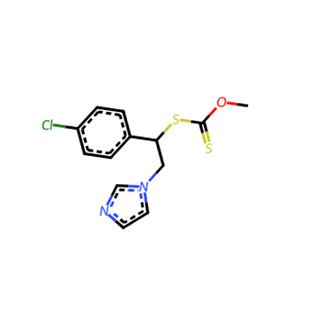 COC(=S)SC(Cn1ccnc1)c1ccc(Cl)cc1